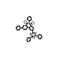 O=c1c2cc(-c3ccccc3)ccc2c2cc(-c3nc(-c4ccccc4)nc(-c4ccccc4)n3)ccc2c(=O)n1-c1ccccc1